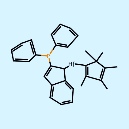 CC1=C(C)C(C)(C)[C]([Hf][CH]2C(P(c3ccccc3)c3ccccc3)=Cc3ccccc32)=C1C